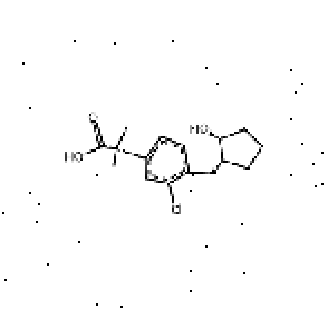 CC(C)(C(=O)O)c1ccc(C[C@@H]2CCC[C@@H]2O)c(Cl)c1